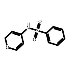 O=S(=O)(NC1=CCOC=C1)c1ccccc1